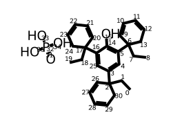 CCC1(c2cc(C3(CC)C=CC=CC3)c(O)c(C3(CC)C=CC=CC3)c2)C=CC=CC1.O=P(O)(O)O